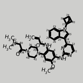 C=CC(=O)Nc1cc(Nc2nccc(-c3cn(C45CC(C4)C5)c4ccccc34)n2)c(OC)cc1N1CCN(C(=O)CN(C)C)CC1